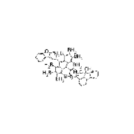 Bc1c(B)c(B)c2c(-c3ccc4oc5ccccc5c4c3)c3c(B)c(B)c(B)c(B)c3c(-c3ccc(-c4cccc5c4C(C)(C)c4ccccc4-5)cc3)c2c1B